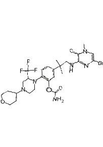 Cn1cc(Br)nc(NCC(C)(C)c2ccc(N3CCN(C4CCOCC4)CC3C(F)(F)F)c(OC(N)=O)c2)c1=O